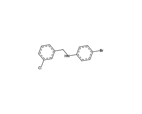 Clc1cccc(CNc2ccc(Br)cc2)c1